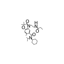 CCC(=O)NCCN1C(=O)C(C)(C)Oc2cc(C)c(C(=O)N(C(C)C)C3CCCCC3)cc21